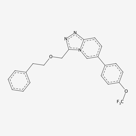 FC(F)(F)Oc1ccc(-c2ccc3nnc(COCCc4ccccc4)n3c2)cc1